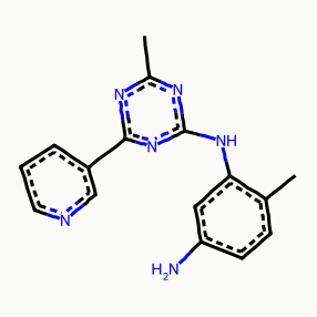 Cc1nc(Nc2cc(N)ccc2C)nc(-c2cccnc2)n1